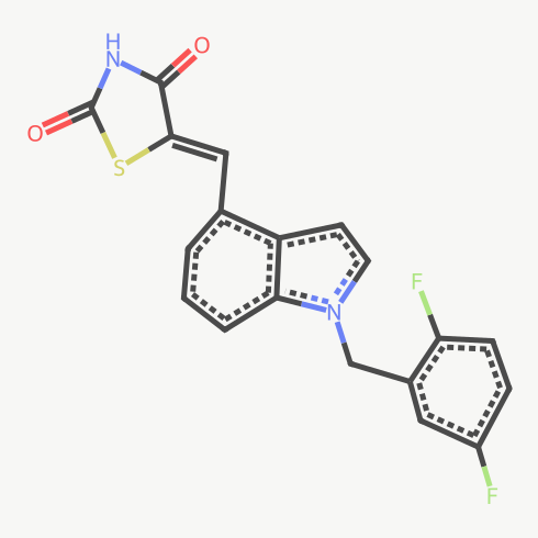 O=C1NC(=O)/C(=C/c2cccc3c2ccn3Cc2cc(F)ccc2F)S1